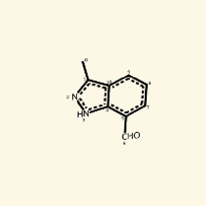 Cc1n[nH]c2c(C=O)cccc12